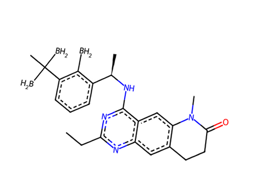 Bc1c([C@@H](C)Nc2nc(CC)nc3cc4c(cc23)N(C)C(=O)CC4)cccc1C(B)(B)C